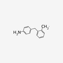 [CH2]c1ccccc1Cc1ccc(N)cc1